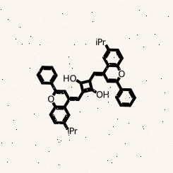 CC(C)c1ccc2c(c1)/C(=C/C1=C(O)C(/C=C3\C=C(c4ccccc4)Oc4ccc(C(C)C)cc43)C1O)C=C(c1ccccc1)O2